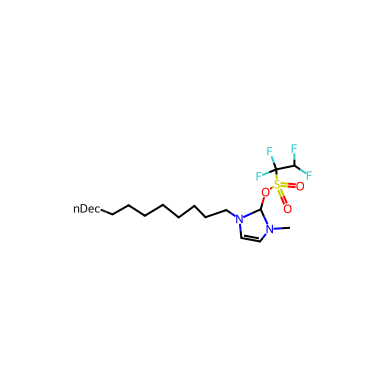 CCCCCCCCCCCCCCCCCCN1C=CN(C)C1OS(=O)(=O)C(F)(F)C(F)F